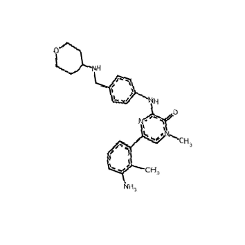 Cc1c(N)cccc1-c1cn(C)c(=O)c(Nc2ccc(CNC3CCOCC3)cc2)n1